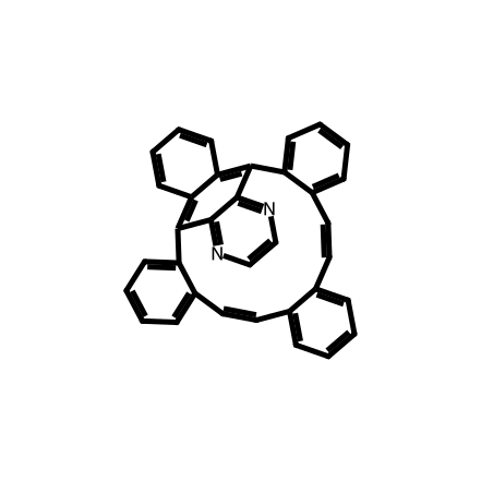 c1ccc2ccc3ccccc3c3c4ccccc4c(c4ccccc4ccc2c1)c1nccnc13